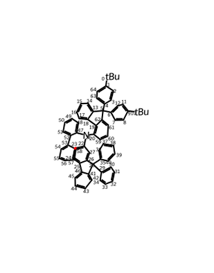 CC(C)(C)c1ccc(C2(c3ccc(C(C)(C)C)cc3)c3ccccc3-c3c(N(c4ccc5c(c4)C(c4ccccc4)(c4ccccc4)c4ccccc4-5)c4ccccc4-c4ccccc4)cccc32)cc1